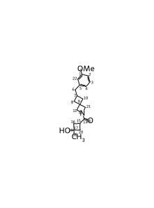 COc1cccc(CC2CC3(C2)CN(C(=O)C2CC(C)(O)C2)C3)c1